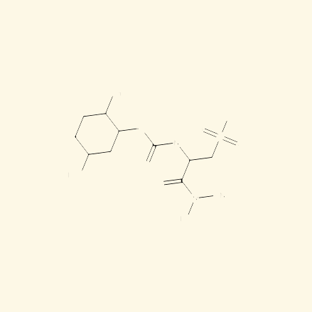 CCN(C#N)C(=O)C(CS(C)(=O)=O)NC(=O)OC1CC(C)CCC1C(C)C